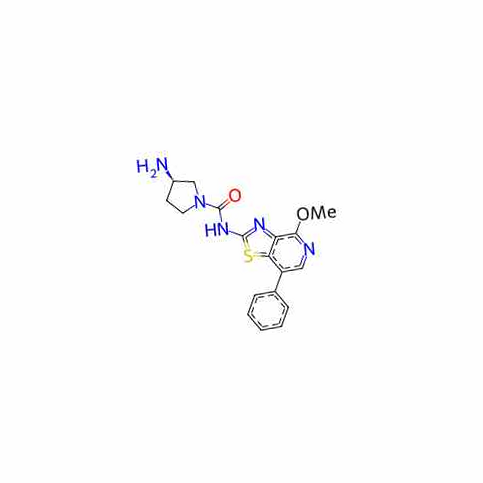 COc1ncc(-c2ccccc2)c2sc(NC(=O)N3CC[C@@H](N)C3)nc12